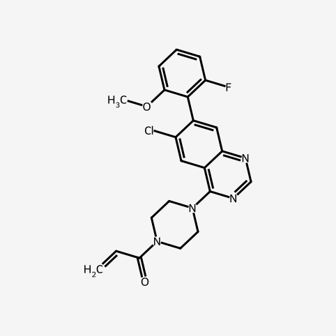 C=CC(=O)N1CCN(c2ncnc3cc(-c4c(F)cccc4OC)c(Cl)cc23)CC1